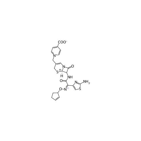 Nc1nc(/C(=N/OC2C=CCC2)C(=O)NC2C(=O)N3C=C(C[n+]4ccc(C(=O)[O-])cc4)CS[C@H]23)cs1